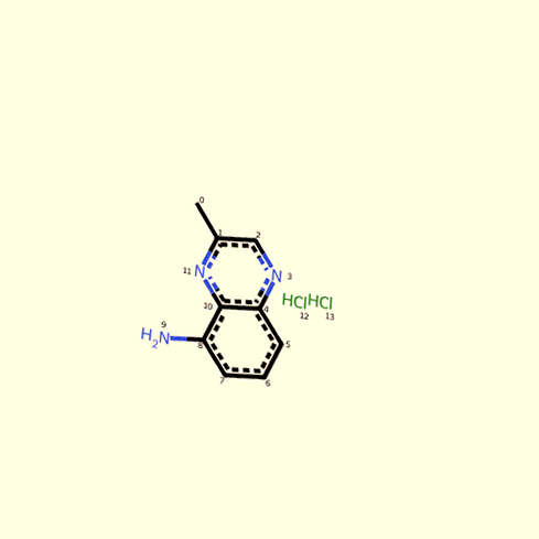 Cc1cnc2cccc(N)c2n1.Cl.Cl